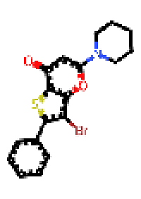 O=c1cc(N2CCCCC2)oc2c(Br)c(-c3ccccc3)sc12